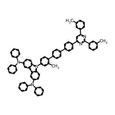 Cc1cccc(-c2cc(-c3ccc(-c4ccc(-c5ccc(-n6c7ccc(N(c8ccccc8)c8ccccc8)cc7c7cc(N(c8ccccc8)c8ccccc8)ccc76)cc5C)cc4)cc3)nc(-c3cccc(C)c3)n2)c1